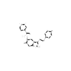 O=C(Nc1cc2c(C=Cc3ccc(F)cc3)n[nH]c2cc1F)c1ccncc1